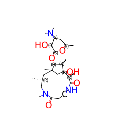 C[C@H]1CN(C)C(=O)CCNC(=O)[C@H](C)[C@@]2(O)CC(C)(C1)[C@H](O[C@@H]1O[C@H](C)C[C@H](N(C)C)[C@H]1O)[C@H]2C